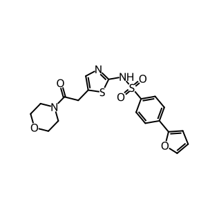 O=C(Cc1cnc(NS(=O)(=O)c2ccc(-c3ccco3)cc2)s1)N1CCOCC1